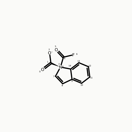 O=C([O-])[N@+]1(C(=O)F)C=Cc2ccccc21